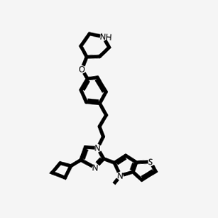 Cn1c(-c2nc(C3CCC3)cn2CCCc2ccc(OC3CCNCC3)cc2)cc2sccc21